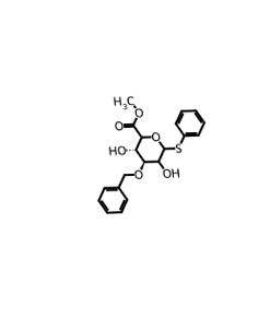 COC(=O)C1OC(Sc2ccccc2)C(O)[C@@H](OCc2ccccc2)[C@@H]1O